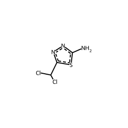 Nc1nnc(C(Cl)Cl)s1